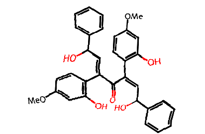 COc1ccc(C(=CC(O)c2ccccc2)C(=O)C(=CC(O)c2ccccc2)c2ccc(OC)cc2O)c(O)c1